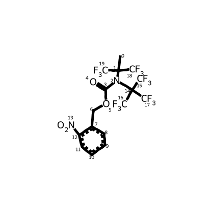 CC(N(C(=O)OCc1ccccc1[N+](=O)[O-])C(C(F)(F)F)(C(F)(F)F)C(F)(F)F)(C(F)(F)F)C(F)(F)F